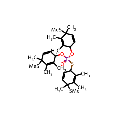 CSC1(C)C=CC(OP(=O)(OC2C=CC(C)(SC)C(C)=C2C)SC2C=CC(C)(SC)C(C)=C2C)C(C)=C1C